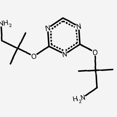 CC(C)(CN)Oc1ncnc(OC(C)(C)CN)n1